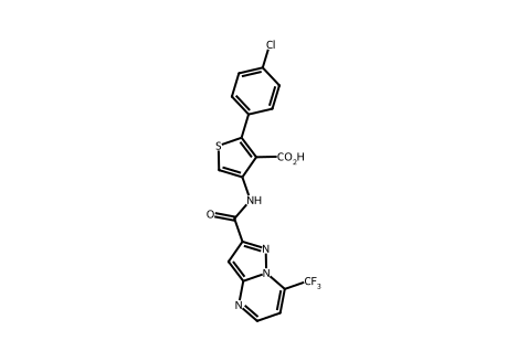 O=C(Nc1csc(-c2ccc(Cl)cc2)c1C(=O)O)c1cc2nccc(C(F)(F)F)n2n1